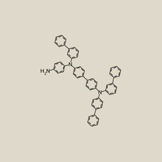 Nc1ccc(N(c2ccc(-c3ccc(N(c4ccc(-c5ccccc5)cc4)c4cccc(-c5ccccc5)c4)cc3)cc2)c2cccc(-c3ccccc3)c2)cc1